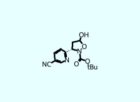 CC(C)(C)OC(=O)N1OC(O)C[C@H]1c1ccc(C#N)cn1